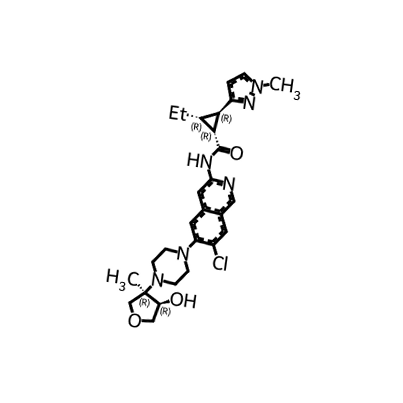 CC[C@H]1[C@@H](C(=O)Nc2cc3cc(N4CCN([C@]5(C)COC[C@@H]5O)CC4)c(Cl)cc3cn2)[C@@H]1c1ccn(C)n1